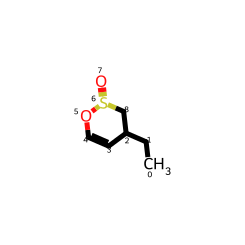 CCC1C=COS(=O)C1